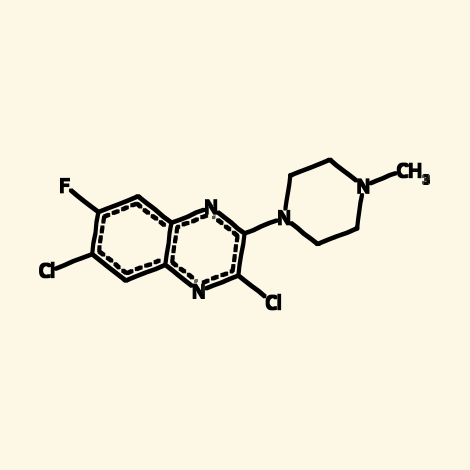 CN1CCN(c2nc3cc(F)c(Cl)cc3nc2Cl)CC1